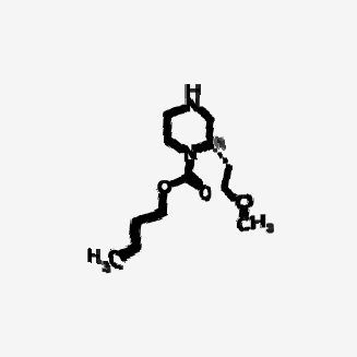 CCCCOC(=O)N1CCNC[C@@H]1CCOC